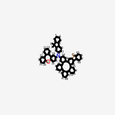 CC1(C)c2ccccc2-c2ccc(N(c3ccc4c(c3)-c3ccccc3-c3ccccc3O4)c3ccc4c(c3)c3ccccc3c3ccccc3c3ccccc3c3cc5c(cc43)sc3ccccc35)cc21